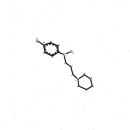 [O-][S+](CCCN1CCCCC1)c1ccc(Cl)cc1